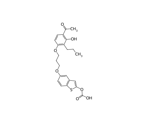 CCCc1c(OCCCOc2ccc3sc(OC(=O)O)cc3c2)ccc(C(C)=O)c1O